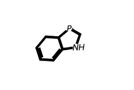 C1=CCC2[P]CNC2=C1